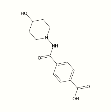 O=C(O)c1ccc(C(=O)NN2CCC(O)CC2)cc1